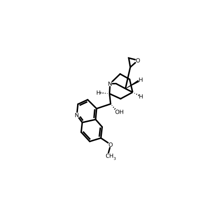 COc1ccc2nccc([C@@H](O)[C@@H]3C[C@@H]4CCN3C[C@@H]4C3CO3)c2c1